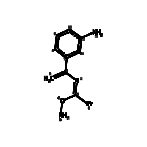 C=C(/N=C(\ON)C(C)C)c1cccc(N)c1